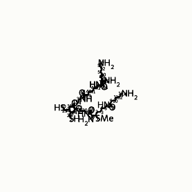 CSC(CCCCNC(=O)CCCCCN)[C@H](N)C(=O)NCCOc1cc(CS)c(CS)cc1OCCNC(=O)CCCCCNC(=O)N(N)SCCCCN